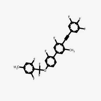 Cc1cc(F)c(C(F)(F)Oc2ccc(-c3cc(C)c(C#Cc4cc(F)c(F)c(F)c4)c(F)c3)c(F)c2)c(F)c1